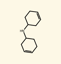 C1=CCC(NC2CC=CCC2)CC1